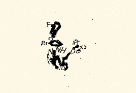 CC(C)C(COCCCC1(c2cc3c(Nc4ccc(OCc5cccc(F)c5)c(Br)c4)ncnc3cn2)CC=CO1)=S(=O)=O